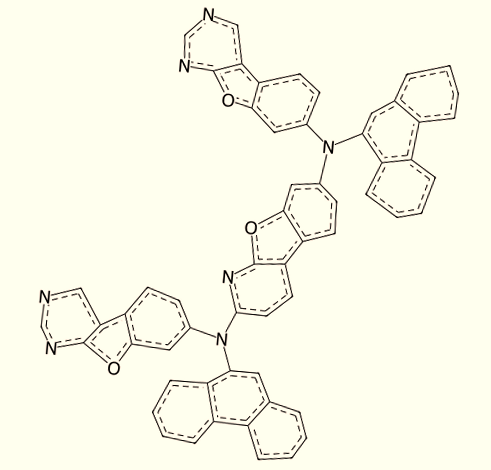 c1ccc2c(c1)cc(N(c1ccc3c(c1)oc1ncncc13)c1ccc3c(c1)oc1nc(N(c4ccc5c(c4)oc4ncncc45)c4cc5ccccc5c5ccccc45)ccc13)c1ccccc12